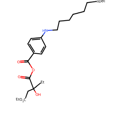 CCCCCCCCCCCCCCCCNc1ccc(C(=O)OC(=O)C(O)(CC)CC(=O)OCC)cc1